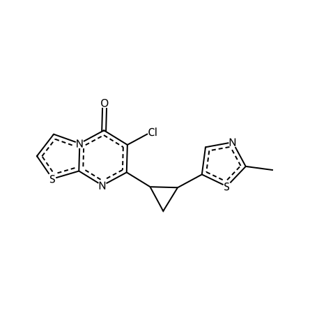 Cc1ncc(C2CC2c2nc3sccn3c(=O)c2Cl)s1